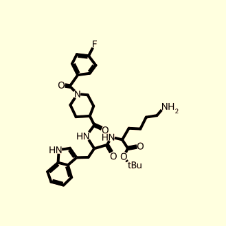 CC(C)(C)OC(=O)C(CCCCN)NC(=O)C(Cc1c[nH]c2ccccc12)NC(=O)C1CCN(C(=O)c2ccc(F)cc2)CC1